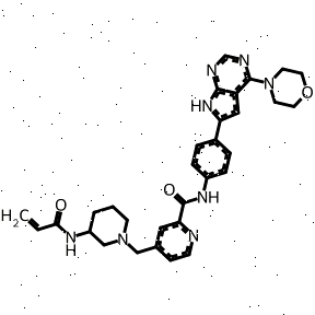 C=CC(=O)NC1CCCN(Cc2ccnc(C(=O)Nc3ccc(-c4cc5c(N6CCOCC6)ncnc5[nH]4)cc3)c2)C1